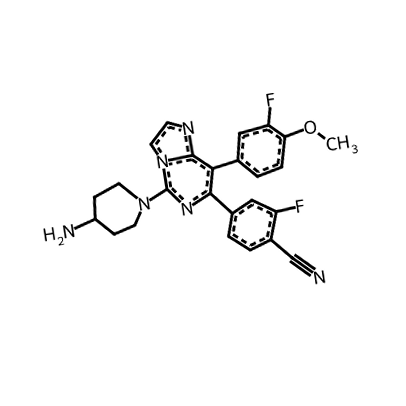 COc1ccc(-c2c(-c3ccc(C#N)c(F)c3)nc(N3CCC(N)CC3)n3ccnc23)cc1F